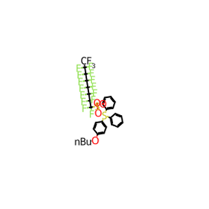 CCCCOc1ccc(S(OS(=O)(=O)C(F)(F)C(F)(F)C(F)(F)C(F)(F)C(F)(F)C(F)(F)C(F)(F)C(F)(F)F)(c2ccccc2)c2ccccc2)cc1